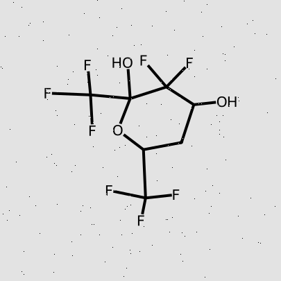 OC1CC(C(F)(F)F)OC(O)(C(F)(F)F)C1(F)F